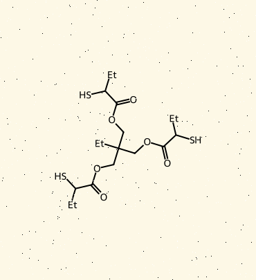 CCC(S)C(=O)OCC(CC)(COC(=O)C(S)CC)COC(=O)C(S)CC